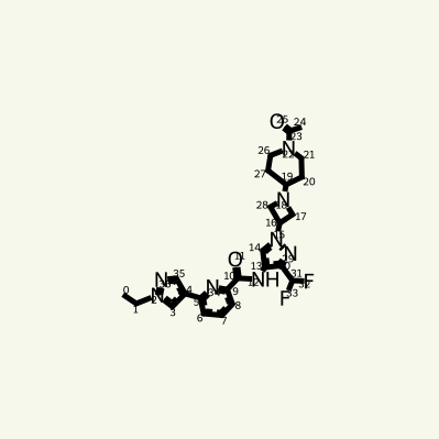 CCn1cc(-c2cccc(C(=O)Nc3cn(C4CN(C5CCN(C(C)=O)CC5)C4)nc3C(F)F)n2)cn1